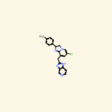 Cc1ccc(C2CN3C=C(Cl)C=C(Cc4nc5cnccc5[nH]4)C3=N2)cc1